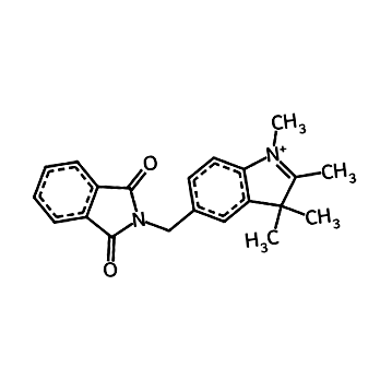 CC1=[N+](C)c2ccc(CN3C(=O)c4ccccc4C3=O)cc2C1(C)C